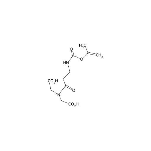 C=C(C)OC(=O)NCCC(=O)N(CC(=O)O)CC(=O)O